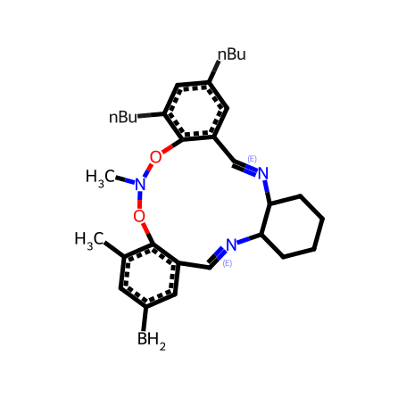 Bc1cc(C)c2c(c1)/C=N/C1CCCCC1/N=C/c1cc(CCCC)cc(CCCC)c1ON(C)O2